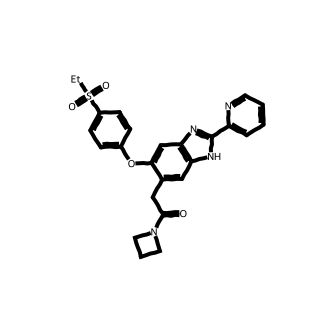 CCS(=O)(=O)c1ccc(Oc2cc3nc(-c4ccccn4)[nH]c3cc2CC(=O)N2CCC2)cc1